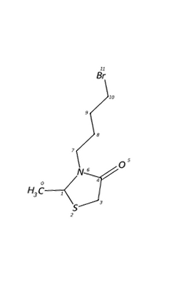 CC1SCC(=O)N1CCCCBr